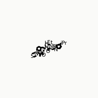 C=C(CN1CCSCC1)C(=O)NC[C@H](CC1CCCCC1)NC(=O)[C@H](Cc1nc2ccc(C(C)C)cc2s1)NC(=O)CC